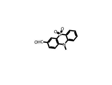 CN1c2ccccc2S(=O)(=O)c2cc(C=O)ccc21